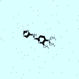 Cc1nc(SNc2cscn2)ccc1N(C)C